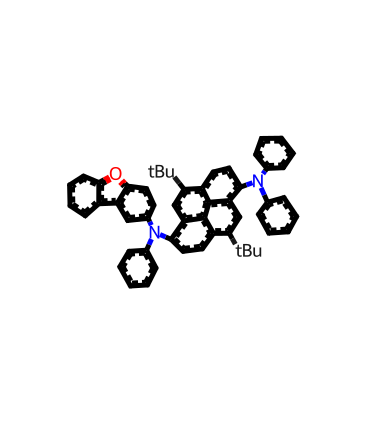 CC(C)(C)c1cc2c(N(c3ccccc3)c3ccc4oc5ccccc5c4c3)ccc3c(C(C)(C)C)cc4c(N(c5ccccc5)c5ccccc5)ccc1c4c23